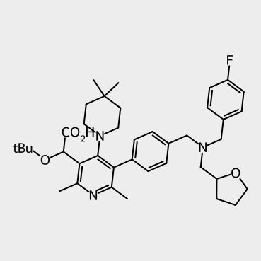 Cc1nc(C)c(C(OC(C)(C)C)C(=O)O)c(N2CCC(C)(C)CC2)c1-c1ccc(CN(Cc2ccc(F)cc2)CC2CCCO2)cc1